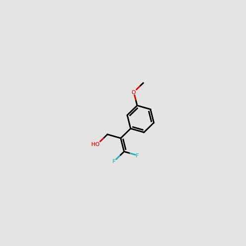 COc1cccc(C(CO)=C(F)F)c1